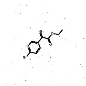 CCOC(=O)C(=N)c1ccc(Br)nc1